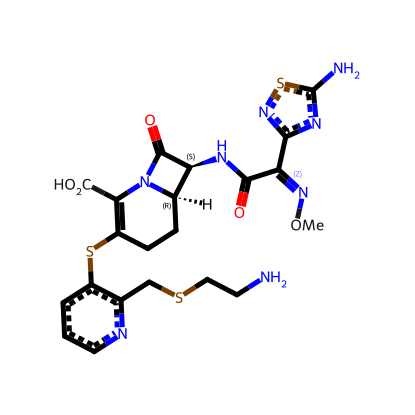 CO/N=C(\C(=O)N[C@@H]1C(=O)N2C(C(=O)O)=C(Sc3cccnc3CSCCN)CC[C@H]12)c1nsc(N)n1